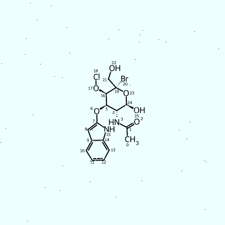 CC(=O)N[C@@H]1[C@@H](Oc2cc3ccccc3[nH]2)[C@@H](OCl)[C@@](Br)(CO)O[C@H]1O